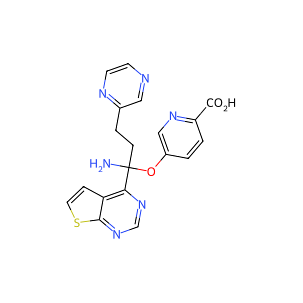 NC(CCc1cnccn1)(Oc1ccc(C(=O)O)nc1)c1ncnc2sccc12